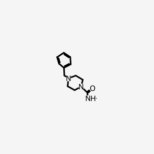 [NH]C(=O)N1CCN(Cc2ccccc2)CC1